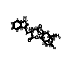 COC(=O)C(Cc1c[nH]c2ccccc12)NC(=O)OC1(C)CC2CC(C)CC(N)(C2)C1